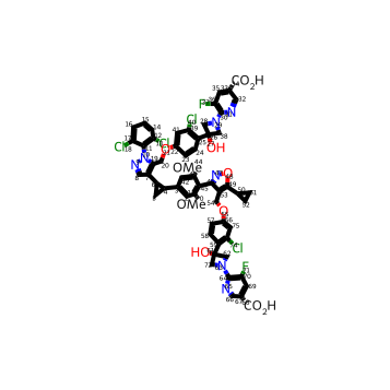 COc1cc(C2CC2c2cnn(-c3c(Cl)cccc3Cl)c2COc2ccc(C3(O)CN(c4ncc(C(=O)O)cc4F)C3)c(Cl)c2)cc(OC)c1-c1noc(C2CC2)c1COc1ccc(C2(O)CN(c3ncc(C(=O)O)cc3F)C2)c(Cl)c1